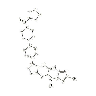 Cc1nc2nc(C)c(OC3CCN(c4ccc(C5CCC(C(=O)N6CCCC6)CC5)cc4)C3)c(C)n2n1